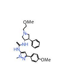 C=C(Nc1cc(-c2ccc(OC)cc2)nn1C)N[C@@H]1CN(CCOC)C[C@H]1c1ccccc1